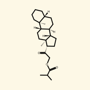 CC(C)C(=O)OCC(=O)[C@H]1CC[C@H]2[C@@H]3CC[C@H]4CCCC[C@]4(C)[C@H]3CC[C@]12C